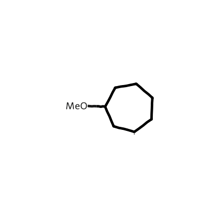 COC1C[CH]CCCC1